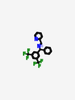 FC(F)(F)c1cc(C(/N=C/c2ccccn2)c2ccccc2)cc(C(F)(F)F)c1